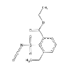 CCOC(=O)c1cccc(CC)c1S(=O)(=O)N=C=O